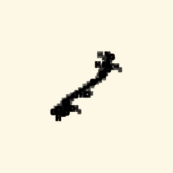 C[C@@H](OCc1ccc(CCCOCCCCCCCCOCCCc2ccc3c(c2)n(C)c(=O)n3C2CCC(=O)NC2=O)cc1)[C@@H](N)CCC(N)=O.Cl